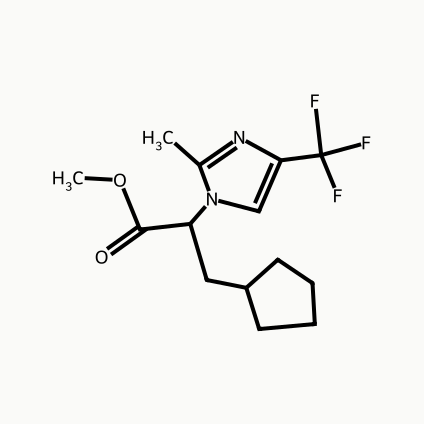 COC(=O)C(CC1CCCC1)n1cc(C(F)(F)F)nc1C